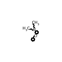 CCCCCN(CCCC)c1cccc(OCc2ccccc2)c1